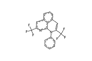 FC(F)(F)C1=Cc2cccc3cc(C(F)(F)F)nc(c23)N1c1ccccc1